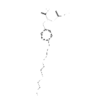 CCOCCOCCOCCOc1ccc(C[C@H](NC(=O)OC(C)(C)C)C(=O)OC)cc1